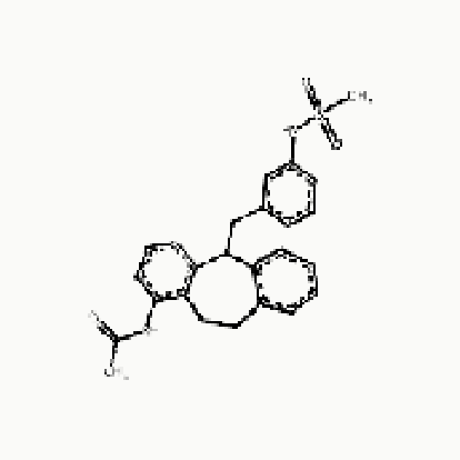 CC(=O)Nc1cccc2c1CCc1ccccc1C2Cc1cccc(NS(C)(=O)=O)c1